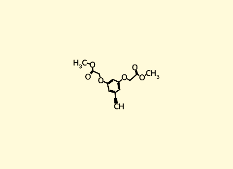 C#Cc1cc(OCC(=O)OC)cc(OCC(=O)OC)c1